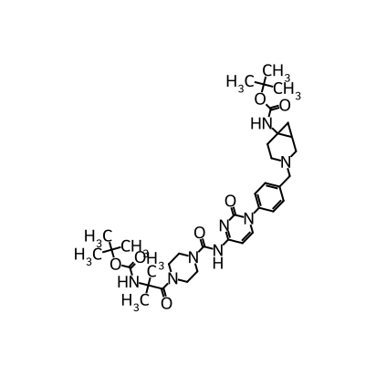 CC(C)(C)OC(=O)NC(C)(C)C(=O)N1CCN(C(=O)Nc2ccn(-c3ccc(CN4CCC5(NC(=O)OC(C)(C)C)CC5C4)cc3)c(=O)n2)CC1